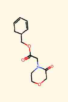 O=C(CN1CCOCC1=O)OCC1C=CC=CC1